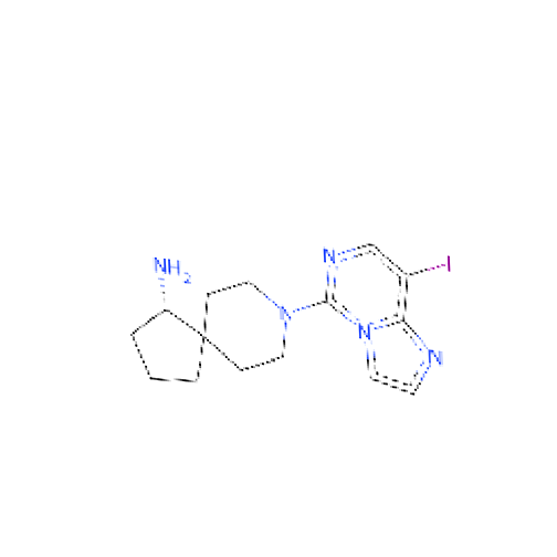 N[C@H]1CCCC12CCN(c1ncc(I)c3nccn13)CC2